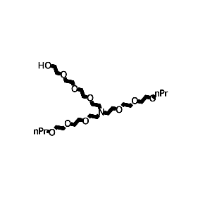 CCCOCCOCCOCCN(CCOCCOCCOCCC)CCOCCOCCOCCO